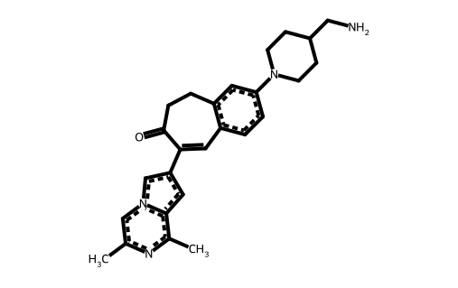 Cc1cn2cc(C3=Cc4ccc(N5CCC(CN)CC5)cc4CCC3=O)cc2c(C)n1